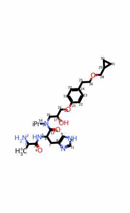 CC(N)C(=O)NC(Cc1c[nH]cn1)C(=O)N(CC(O)COc1ccc(CCOCC2CC2)cc1)C(C)C